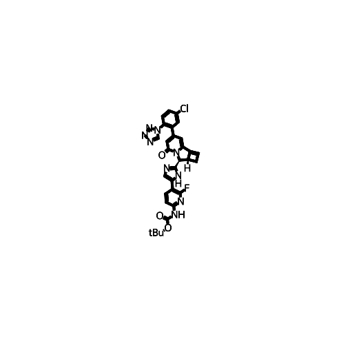 CC(C)(C)OC(=O)Nc1ccc(-c2cnc([C@@H]3[C@H]4CC=C4c4cc(-c5cc(Cl)ccc5-n5cnnn5)cc(=O)n43)[nH]2)c(F)n1